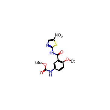 CCOc1ccc(NC(=O)OC(C)(C)C)cc1C(=O)Nc1ncc([N+](=O)[O-])s1